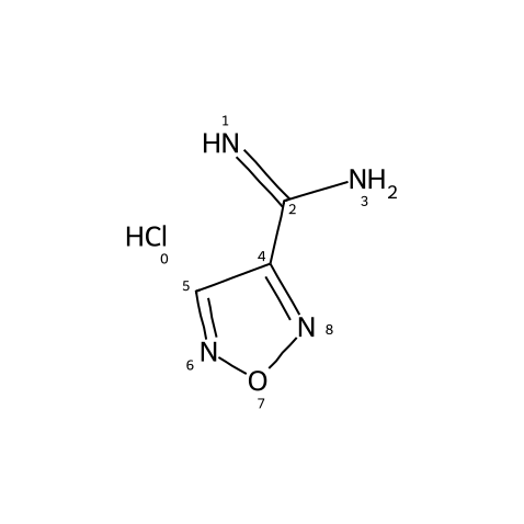 Cl.N=C(N)c1cnon1